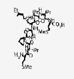 CCC(C)=CCSC[C@H](NC(=O)[C@H](C)NC(=O)[C@@H]1CCCN1C(=O)[C@@H](NC(=O)[C@@H](N)CCSC)C(C)C)C(=O)N[C@H](C(=O)N[C@H](C(=O)N[C@@H](CCSC)C(=O)O)C(C)C)C(C)C